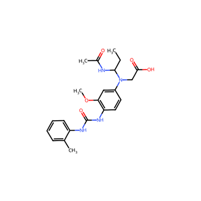 CCC(NC(C)=O)N(CC(=O)O)c1ccc(NC(=O)Nc2ccccc2C)c(OC)c1